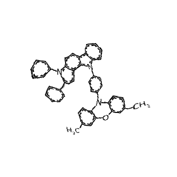 Cc1ccc2c(c1)Oc1cc(C)ccc1N2c1ccc(-n2c3ccccc3c3ccc4c(cc(-c5ccccc5)n4-c4ccccc4)c32)cc1